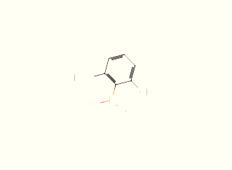 Cc1cccc(C)c1P(O)O